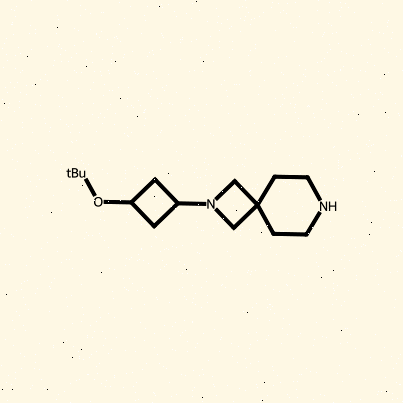 CC(C)(C)OC1CC(N2CC3(CCNCC3)C2)C1